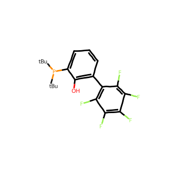 CC(C)(C)P(c1cccc(-c2c(F)c(F)c(F)c(F)c2F)c1O)C(C)(C)C